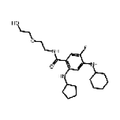 O=C(NCCOCCO)c1cc(F)c(NC2CCCCC2)cc1NC1CCCC1